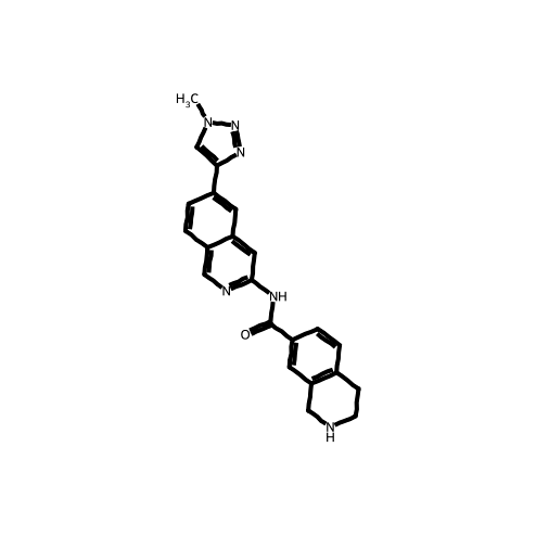 Cn1cc(-c2ccc3cnc(NC(=O)c4ccc5c(c4)CNCC5)cc3c2)nn1